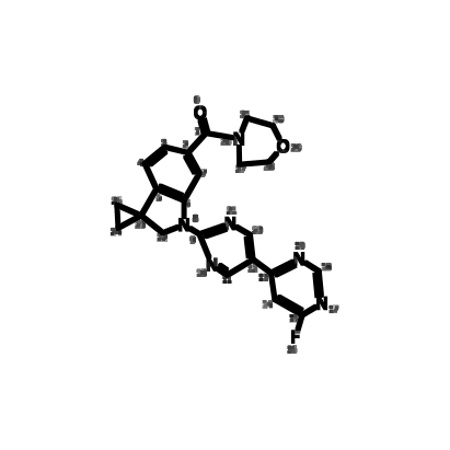 O=C(c1ccc2c(c1)N(c1ncc(-c3cc(F)ncn3)cn1)CC21CC1)N1CCOCC1